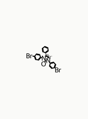 C[C@H]1[C@@H](c2ccccc2)N(c2ccc(Br)cc2)C(=O)N1c1ccc(Br)cc1